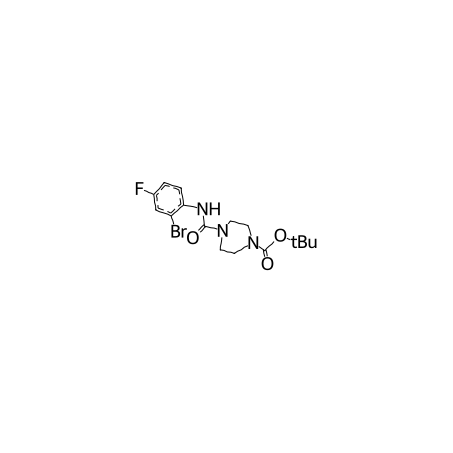 CC(C)(C)OC(=O)N1CCN(C(=O)Nc2ccc(F)cc2Br)CC1